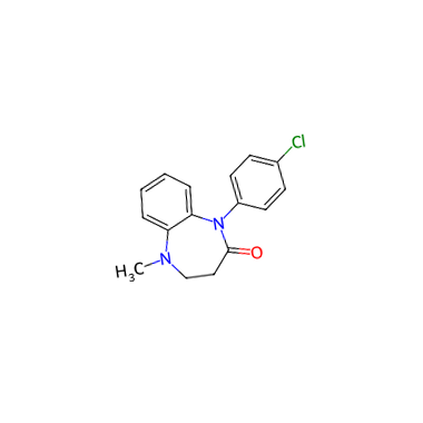 CN1CCC(=O)N(c2ccc(Cl)cc2)c2ccccc21